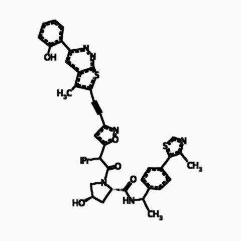 Cc1ncsc1-c1ccc(C(C)NC(=O)[C@@H]2C[C@@H](O)CN2C(=O)C(c2cc(C#Cc3sc4nnc(-c5ccccc5O)cc4c3C)no2)C(C)C)cc1